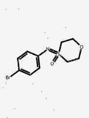 O=S1(=Nc2ccc(Br)cc2)CCOCC1